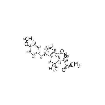 COc1ccc(Cn2ncc3c2CC(C)c2c(C(C)=O)noc2-3)cc1